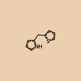 c1c[nH]c(Cc2cccs2)c1